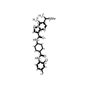 CNC(C)c1cnc2c(C(=O)NC3CCC(C(=O)Nc4ccc(F)cc4Cl)CC3)cnn2c1C